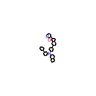 c1ccc(-c2cccc(N(c3ccc(-c4ccc5ccc6c7cccnc7oc6c5c4)cc3)c3ccc4ccccc4c3)c2)cc1